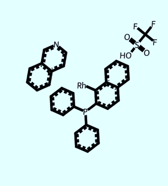 O=S(=O)(O)C(F)(F)F.[Rh][c]1c(P(c2ccccc2)c2ccccc2)ccc2ccccc12.c1ccc2cnccc2c1